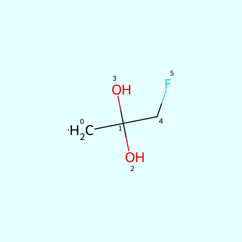 [CH2]C(O)(O)CF